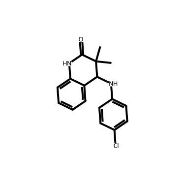 CC1(C)C(=O)Nc2ccccc2C1Nc1ccc(Cl)cc1